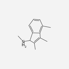 C[SiH2]C1C(C)=C(C)c2c(C)cccc21